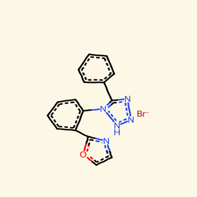 [Br-].c1ccc(-c2nn[nH][n+]2-c2ccccc2-c2ncco2)cc1